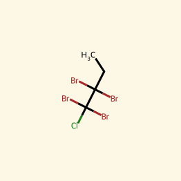 CCC(Br)(Br)C(Cl)(Br)Br